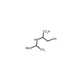 CSC(C)NC(CO)C(=O)O